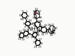 c1ccc(-c2ccc(Nc3cc4ccccc4cc3-c3cc(-c4ccccc4)cc(-n4c5ccc(C67CC8CC(CC(C8)C6)C7)cc5c5cc(C67CC8CC(CC(C8)C6)C7)ccc54)c3)cc2)cc1